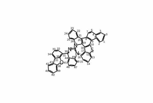 c1ccc2c(c1)ccc1c2c2sc3ccccc3c2c2c1c1ccccc1n2-c1nc(-c2cccc3c2oc2ccccc23)c2ccccc2n1